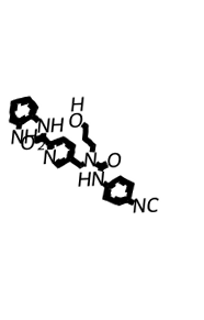 [C-]#[N+]c1ccc(NC(=O)N(CCCO)Cc2ccc(C(=O)Nc3ccccc3N)nc2)cc1